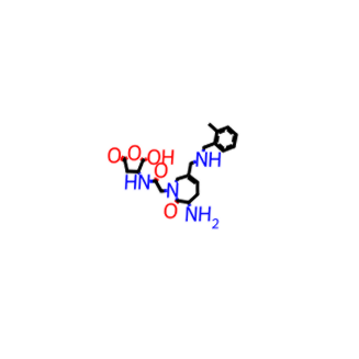 Cc1ccccc1CNCC1=CCC(N)C(=O)N(CC(=O)NC2CC(=O)OC2O)C1